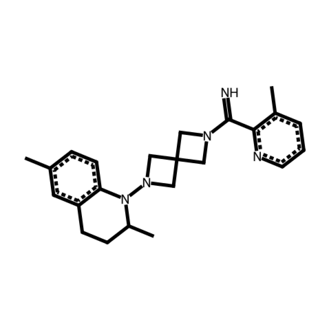 Cc1ccc2c(c1)CCC(C)N2N1CC2(CN(C(=N)c3ncccc3C)C2)C1